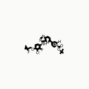 CC(C)(C)OC(=O)N1CC2CC[C@H]1CN2c1ccc2ncnc(Nc3ccc(OCC4(F)CC4)c(Cl)c3F)c2n1